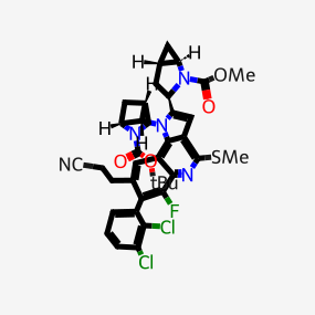 COC(=O)N1[C@@H](c2cc3c(SC)nc4c(F)c(-c5cccc(Cl)c5Cl)c(CCC#N)cc4c3n2[C@H]2[C@@H]3C[C@H]2N(C(=O)OC(C)(C)C)C3)C[C@@H]2C[C@H]21